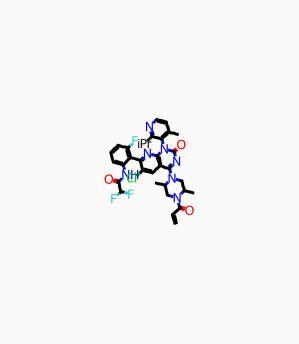 C=CC(=O)N1CC(C)N(c2nc(=O)n(-c3c(C)ccnc3C(C)C)c3nc(-c4c(F)cccc4NC(=O)C(F)F)c(Cl)cc23)CC1C